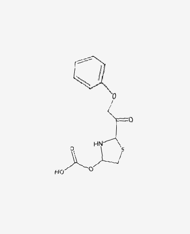 O=C(O)OC1CSC(C(=O)COc2ccccc2)N1